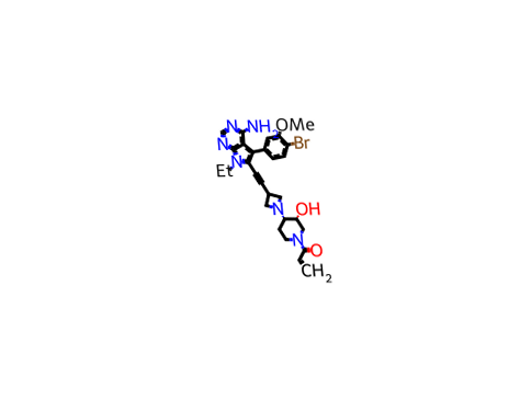 C=CC(=O)N1CC[C@H](N2CC(C#Cc3c(-c4ccc(Br)c(OC)c4)c4c(N)ncnc4n3CC)C2)[C@H](O)C1